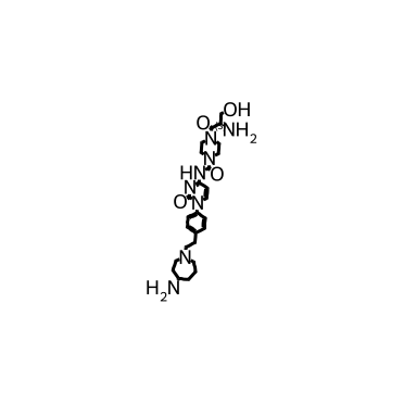 NC1CCCN(CCc2ccc(-n3ccc(NC(=O)N4CCN(C(=O)[C@@H](N)CO)CC4)nc3=O)cc2)CC1